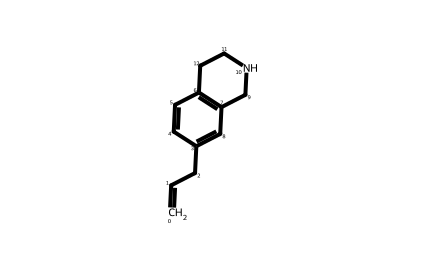 C=CCc1ccc2c(c1)CNCC2